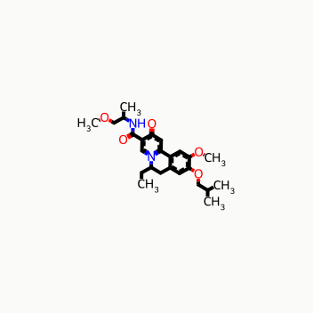 CCC1Cc2cc(OCC(C)C)c(OC)cc2-c2cc(=O)c(C(=O)NC(C)COC)cn21